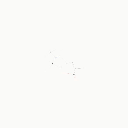 CC(=CCCN(C(C)(C)C)C(C)(C)C)C(=O)O